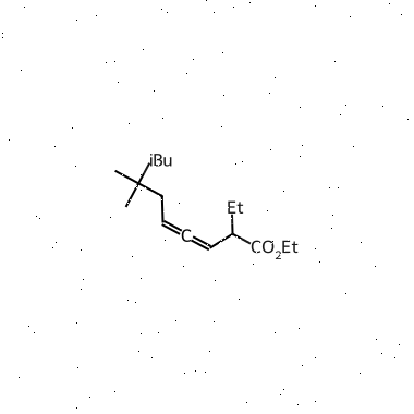 CCOC(=O)C(C=C=CCC(C)(C)C(C)CC)CC